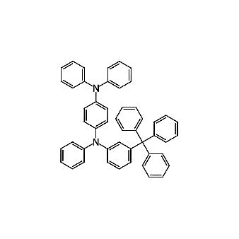 c1ccc(N(c2ccccc2)c2ccc(N(c3ccccc3)c3cccc(C(c4ccccc4)(c4ccccc4)c4ccccc4)c3)cc2)cc1